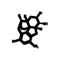 Cc1cc(Br)c2c3c1O[C@H]1[C@@H](O)[C@H](Br)C[C@H]4[C@H](CCC[C@@]341)C2